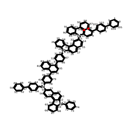 c1ccc(-c2ccc(-c3ccc(N(c4ccc5ccc6c(c5c4)c4ccccc4n6-c4ccc(-c5ccc(-c6ccc(N(c7ccc(-c8ccccc8)cc7)c7ccc8c(ccc9c8c8ccccc8n9-c8ccccc8)c7)cc6)c6ccccc56)cc4)c4ccccc4-c4ccccc4)cc3)cc2)cc1